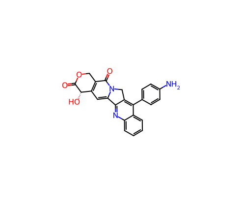 Nc1ccc(-c2c3c(nc4ccccc24)-c2cc4c(c(=O)n2C3)COC(=O)[C@H]4O)cc1